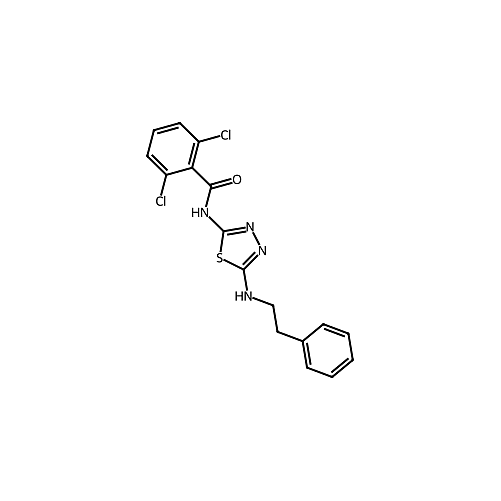 O=C(Nc1nnc(NCCc2ccccc2)s1)c1c(Cl)cccc1Cl